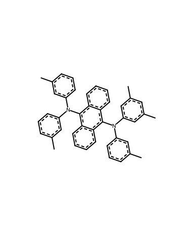 Cc1cccc(N(c2cccc(C)c2)c2c3ccccc3c(N(c3cccc(C)c3)c3cc(C)cc(C)c3)c3ccccc23)c1